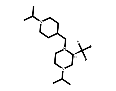 CC(C)N1CCC(CN2CCN(C(C)C)C[C@@H]2C(F)(F)F)CC1